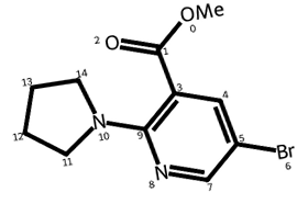 COC(=O)c1cc(Br)cnc1N1CCCC1